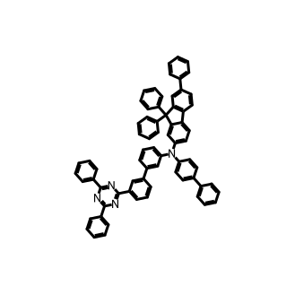 c1ccc(-c2ccc(N(c3cccc(-c4cccc(-c5nc(-c6ccccc6)nc(-c6ccccc6)n5)c4)c3)c3ccc4c(c3)C(c3ccccc3)(c3ccccc3)c3cc(-c5ccccc5)ccc3-4)cc2)cc1